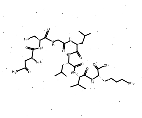 CC(C)C[C@H](NC(=O)CNC(=O)[C@H](CO)NC(=O)[C@@H](N)CC(N)=O)C(=O)N[C@@H](CC(C)C)C(=O)N[C@H](C(=O)N[C@@H](CCCCN)C(=O)O)C(C)C